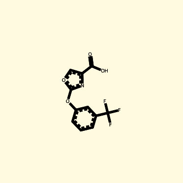 O=C(O)c1coc(Oc2cccc(C(F)(F)F)c2)n1